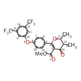 COC(=O)C1=C(c2ccc(Oc3cc(C(F)(F)F)cc(C(F)(F)F)c3)cc2)OC(C)C(C)C1=O